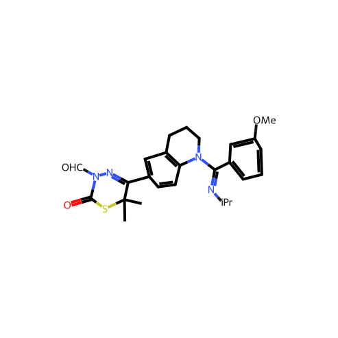 COc1cccc(C(=NC(C)C)N2CCCc3cc(C4=NN(C=O)C(=O)SC4(C)C)ccc32)c1